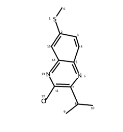 CSc1ccc2nc(C(C)C)c(Cl)nc2c1